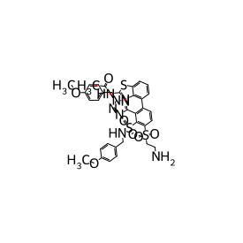 COc1ccc(CNS(=O)(=O)c2c(S(=O)(=O)CCN)ccc(-c3cccc4sc(NC(C)=O)nc34)c2-c2nnn(Cc3ccc(OC)cc3)n2)cc1